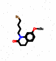 CCCCOc1ccc2c(c1)N(CCCCBr)C(=O)CC2